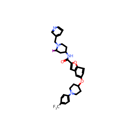 O=C(NC1CCN(Cc2cccnc2)C(I)C1)c1cc2cc(OC3CCN(c4ccc(C(F)(F)F)cc4)CC3)ccc2o1